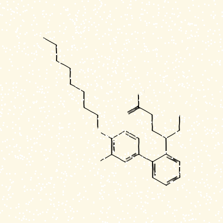 CCCCCCCCOc1ccc(-c2ccccc2C(CC)CCC(=O)O)cc1F